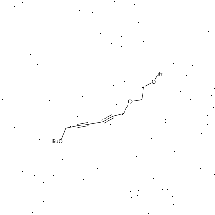 CC(C)COCC#CC#CCOCCOC(C)C